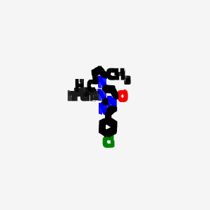 CCCCCn1c(N2C(C)CCC2C)cc(=O)n2cc(-c3ccc(Cl)cc3)nc12